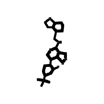 CS(=O)(=O)c1ccc(-c2cnc(NCc3cccc4c3CCO4)n3cnnc23)c(F)c1